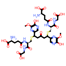 COc1nc(C(CC(=O)CC(SC[C@H](NC(=O)CC[C@H](N)C(=O)O)C(=O)NCC(=O)O)c2cnc(O)c(OC)n2)SC[C@H](NC(=O)CC[C@@H](N)C(=O)O)C(=O)NCC(=O)O)cnc1O